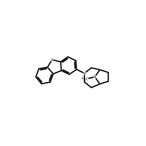 CN1C2CCC1CN(c1ccc3sc4ccccc4c3c1)CC2